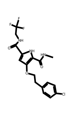 CNC(=O)c1[nH]c(C(=O)NCC(F)(F)F)cc1OCCc1ccc(Cl)cc1